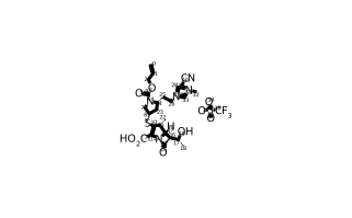 C=CCOC(=O)N1C[C@@H](SC2=C(C(=O)O)N3C(=O)[C@H]([C@@H](C)O)[C@H]3[C@H]2C)C[C@H]1CC[n+]1cc(C#N)n(C)c1.O=S(=O)([O-])C(F)(F)F